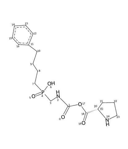 O=C(NCP(=O)(O)CCCCc1ccccc1)OC(=O)[C@@H]1CCCN1